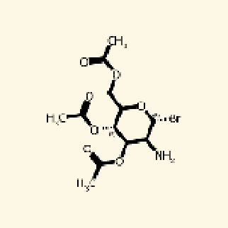 CC(=O)OCC1O[C@H](Br)C(N)C(OC(C)=O)[C@@H]1OC(C)=O